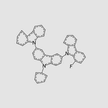 Fc1cccc2c3ccccc3n(-c3ccc4c(c3)c3cc(-n5c6ccccc6c6ccccc65)ccc3n4-c3ccccc3)c12